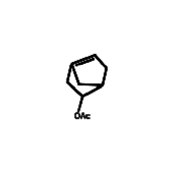 CC(=O)OC1CC2=CCC1C2